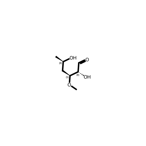 CO[C@@H](C[C@@H](C)O)[C@@H](O)C=O